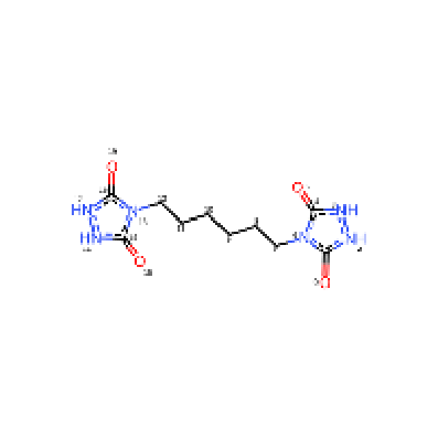 O=c1[nH][nH]c(=O)n1CCCCCCn1c(=O)[nH][nH]c1=O